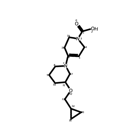 O=C(O)N1CC=C(N2CCCC(OCC3CC3)C2)CC1